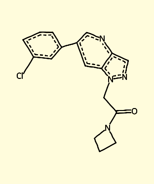 O=C(Cn1ncc2ncc(-c3cccc(Cl)c3)cc21)N1CCC1